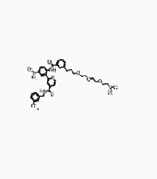 CCN(CC)CCOCCOCCOCCCc1cccc(C(=O)Nc2ccc(N(CC)CC)cc2-c2cc(C(=O)NCc3cccc(C(F)(F)F)c3)ccn2)c1